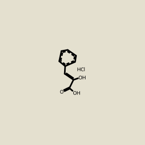 Cl.O=C(O)/C(O)=C/c1ccccc1